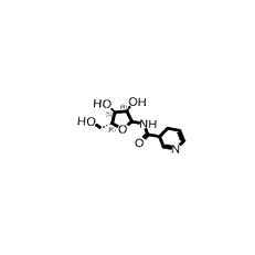 O=C(NC1O[C@H](CO)[C@@H](O)[C@H]1O)C1C=NC=CC1